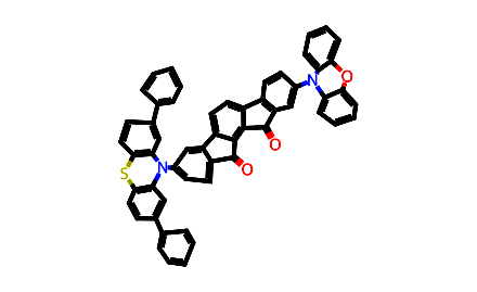 O=c1c2cc(N3c4ccccc4Oc4ccccc43)ccc2c2ccc3c4cc(N5c6cc(-c7ccccc7)ccc6Sc6ccc(-c7ccccc7)cc65)ccc4c(=O)c3c12